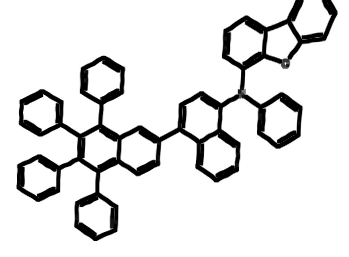 c1ccc(-c2c(-c3ccccc3)c(-c3ccccc3)c3cc(-c4ccc(N(c5ccccc5)c5cccc6c5oc5ccccc56)c5ccccc45)ccc3c2-c2ccccc2)cc1